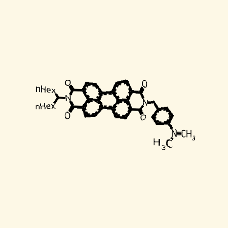 CCCCCCC(CCCCCC)N1C(=O)c2ccc3c4ccc5c6c(ccc(c7ccc(c2c37)C1=O)c64)C(=O)N(Cc1ccc(N(C)C)cc1)C5=O